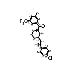 Cc1cc(C(=O)N2CCCC(CNc3ccc(Cl)cc3)C2)cc(C(F)(F)F)c1